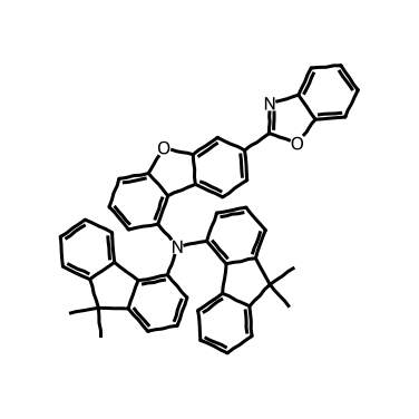 CC1(C)c2ccccc2-c2c(N(c3cccc4c3-c3ccccc3C4(C)C)c3cccc4oc5cc(-c6nc7ccccc7o6)ccc5c34)cccc21